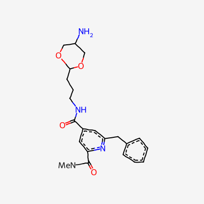 CNC(=O)c1cc(C(=O)NCCCC2OCC(N)CO2)cc(Cc2ccccc2)n1